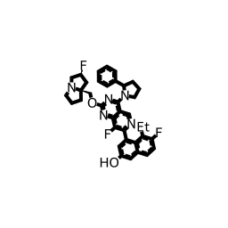 CCc1c(F)ccc2cc(O)cc(-c3ncc4c(N5CCCC5c5ccccc5)nc(OC[C@@]56CCCN5C[C@H](F)C6)nc4c3F)c12